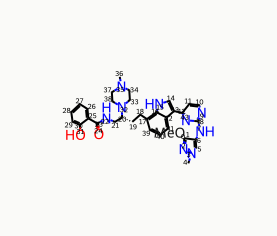 COc1nn(C)cc1Nc1nccc(-c2c[nH]c3c(CC[C@H](CNC(=O)c4ccccc4O)N4CCN(C)CC4)cccc23)n1